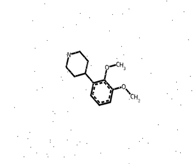 COc1cccc(C2CC[N]CC2)c1OC